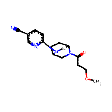 COCCC(=O)N1CC2CCC1CN2c1ccc(C#N)cn1